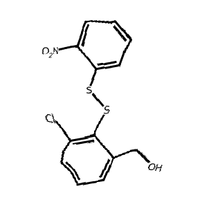 O=[N+]([O-])c1ccccc1SSc1c(Cl)cccc1CO